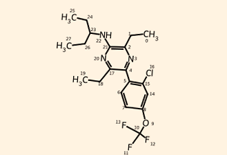 CCc1nc(-c2ccc(OC(F)(F)F)cc2Cl)c(CC)nc1NC(CC)CC